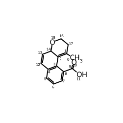 CC1=C2c3c(cccc3C(=O)O)C=CC2OCC1